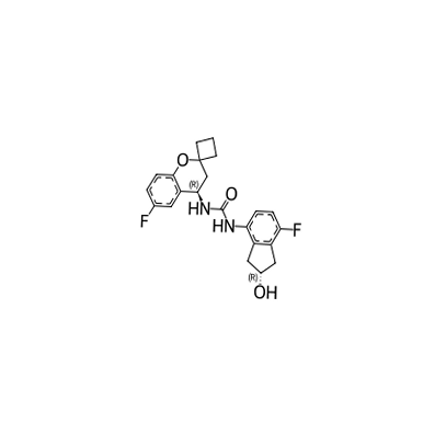 O=C(Nc1ccc(F)c2c1C[C@@H](O)C2)N[C@@H]1CC2(CCC2)Oc2ccc(F)cc21